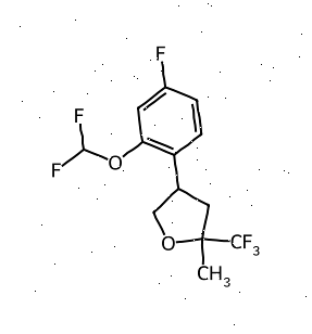 CC1(C(F)(F)F)CC(c2ccc(F)cc2OC(F)F)CO1